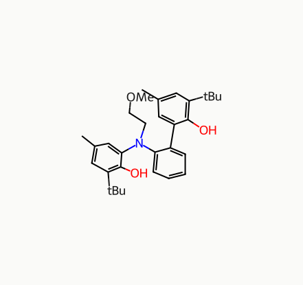 COCCN(c1ccccc1-c1cc(C)cc(C(C)(C)C)c1O)c1cc(C)cc(C(C)(C)C)c1O